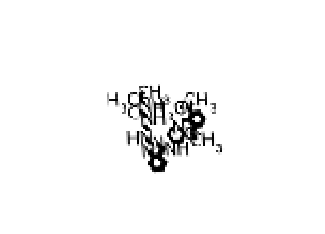 COc1cccc(N(C)C)c1CN1CCC(Nc2nc(NCCNC(=O)NC(C)C)nc3ccccc23)CC1